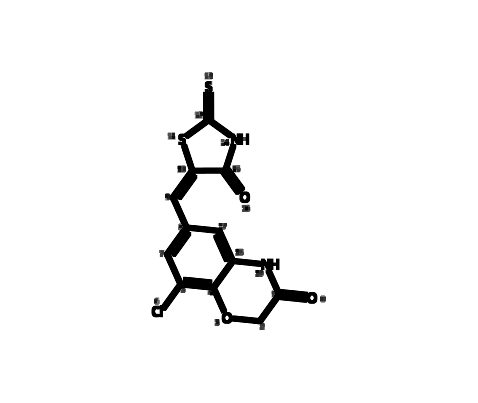 O=C1COc2c(Cl)cc(C=C3SC(=S)NC3=O)cc2N1